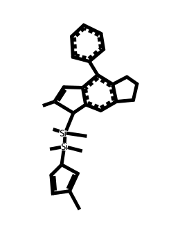 CC1=CC([Si](C)(C)[Si](C)(C)C2C(C)=Cc3c2cc2c(c3-c3ccccc3)CCC2)C=C1